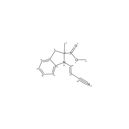 COC(=O)C1(C)Cc2ccccc2N1C=CC#N